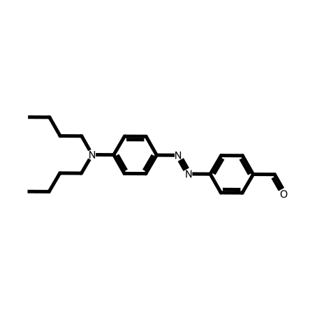 CCCCN(CCCC)c1ccc(/N=N/c2ccc(C=O)cc2)cc1